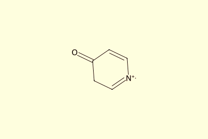 O=C1C=C[N+]=CC1